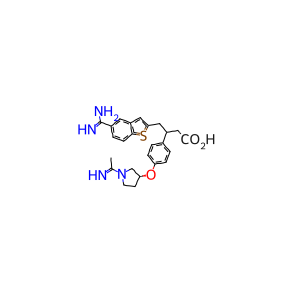 CC(=N)N1CC[C@H](Oc2ccc(C(CC(=O)O)Cc3cc4cc(C(=N)N)ccc4s3)cc2)C1